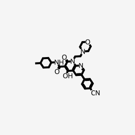 CC1CCC(NC(=O)c2c(O)c3cc(-c4ccc(C#N)cc4)cnc3n(CCN3CCOCC3)c2=O)CC1